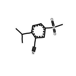 CC(C)c1ccc(S(C)(=O)=O)cc1C#N